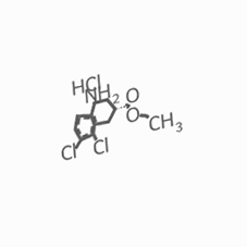 CCOC(=O)[C@@H]1Cc2c(ccc(Cl)c2Cl)[C@@H](N)C1.Cl